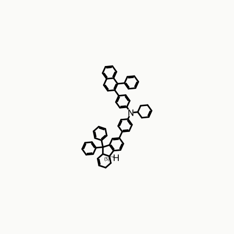 C1=CCC(N(c2ccc(-c3ccc4c(c3)C(c3ccccc3)(c3ccccc3)C3C=CCC[C@H]43)cc2)c2ccc(-c3ccc4ccccc4c3-c3ccccc3)cc2)CC1